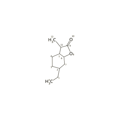 CCC1CCC2C(C1)OC(=O)C2C